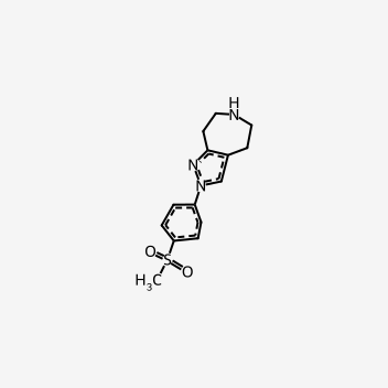 CS(=O)(=O)c1ccc(-n2cc3c(n2)CCNCC3)cc1